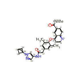 CNC(=O)c1ccc2nccc(Oc3c(C)cc(CC(=O)Nc4cnn(C56CC(C5)C6)c4)cc3C)c2c1